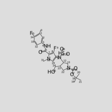 Cc1cc(NC(=O)c2c(F)c(N(C3CN(C(=O)OC(C)(C)C)CC3CO)[SH](=O)=O)cn2C)ccc1F